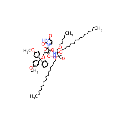 CCCCCCCCCCCCCCCCOC(=C=O)C(COCCCCCC)(NO[C@@H]1[C@H](O)[C@@H](COC(c2ccccc2)(c2ccc(OC)cc2)c2ccc(OC)cc2)O[C@H]1n1ccc(=O)[nH]c1=O)OCCCCCCCCCCCCCCCC